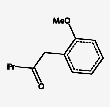 COc1ccccc1CC(=O)C(C)C